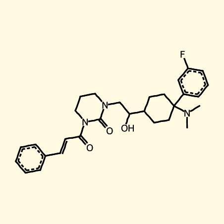 CN(C)C1(c2cccc(F)c2)CCC(C(O)CN2CCCN(C(=O)C=Cc3ccccc3)C2=O)CC1